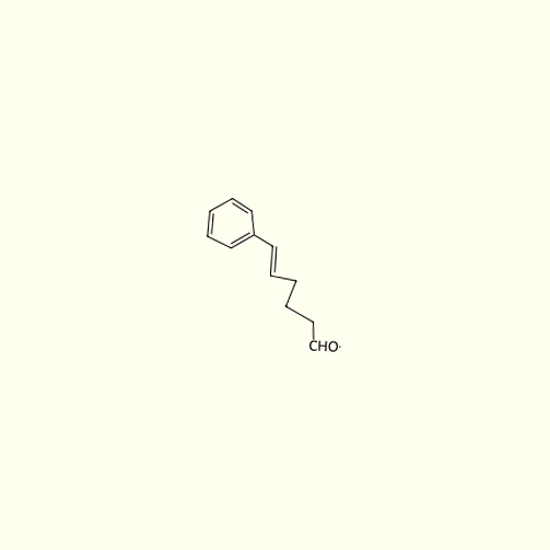 O=[C]CCCC=Cc1ccccc1